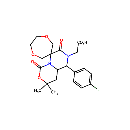 CC1(C)CC2C(c3ccc(F)cc3)N(CC(=O)O)C(=O)C3(COCCOC3)N2C(=O)O1